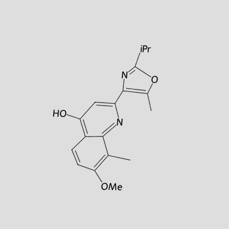 COc1ccc2c(O)cc(-c3nc(C(C)C)oc3C)nc2c1C